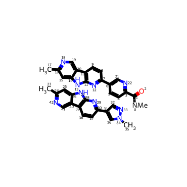 CNC(=O)c1ccc(-c2ccc3c(n2)[nH]c2cc(C)ncc23)cn1.Cc1cc2[nH]c3nc(-c4cnn(C)c4)ccc3c2cn1